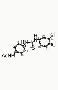 CC(=O)Nc1ccc(NC(=S)Nc2ccc(Cl)c(Cl)c2)cc1